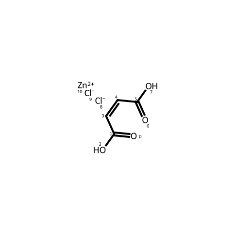 O=C(O)/C=C\C(=O)O.[Cl-].[Cl-].[Zn+2]